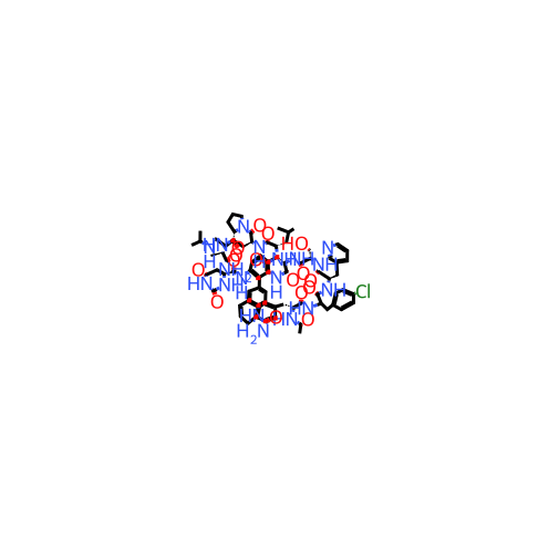 CC(=O)N[C@H](Cc1ccc2c(c1)CC=CC2)C(=O)NC(Cc1ccc(Cl)cc1)C(=O)N[C@H](Cc1cccnc1)C(=O)N[C@@H](CO)C(=O)N[C@@H](Cc1ccc(NC(=O)[C@@H]2CC(=O)NC(=O)N2)cc1)C(=O)N[C@H](Cc1ccc(NC(N)=O)cc1)C(=O)N[C@@H](CC(C)C)C(=O)N[C@@H](CCCCNC(C)C)C(=O)N1CCC[C@H]1C(=O)N[C@H](C)C(N)=O